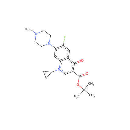 CN1CCN(c2cc3c(cc2F)c(=O)c(C(=O)OC(C)(C)C)cn3C2CC2)CC1